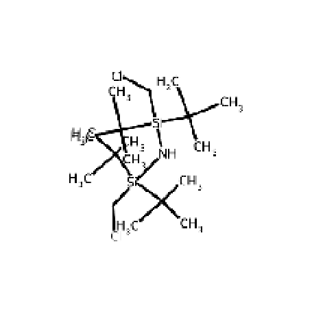 CC(C)(C)[Si](CCl)(N[Si](CCl)(C(C)(C)C)C(C)(C)C)C(C)(C)C